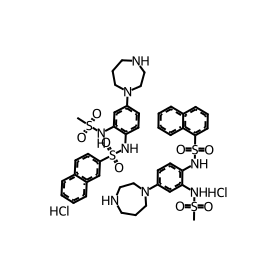 CS(=O)(=O)Nc1cc(N2CCCNCC2)ccc1NS(=O)(=O)c1ccc2ccccc2c1.CS(=O)(=O)Nc1cc(N2CCCNCC2)ccc1NS(=O)(=O)c1cccc2ccccc12.Cl.Cl